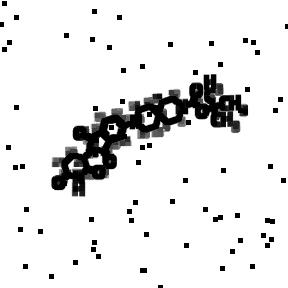 CC(C)(C)OC(=O)N1CCC2(CC1)CCN(c1ccc3c(c1)C(=O)N(C1CCC(=O)NC1=O)C3=O)CC2